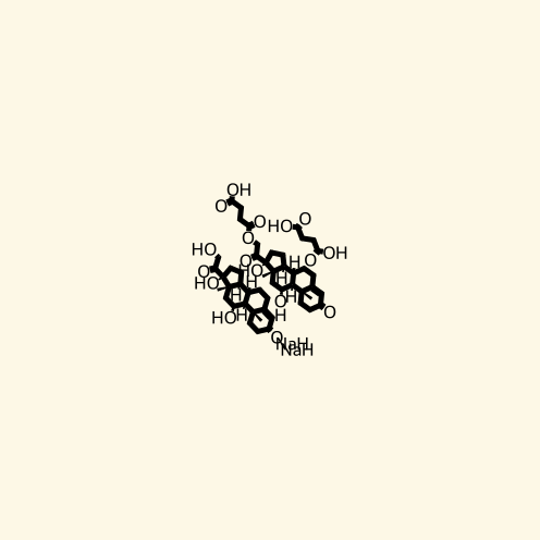 C[C@]12CCC(=O)C=C1CC[C@@H]1[C@@H]2[C@@H](O)C[C@@]2(C)[C@H]1CC[C@]2(O)C(=O)CO.C[C@]12CCC(=O)C=C1CC[C@@H]1[C@@H]2[C@@H](O)C[C@@]2(C)[C@H]1CC[C@]2(O)C(=O)COC(=O)CCC(=O)O.O=C(O)CCC(=O)O.[NaH].[NaH]